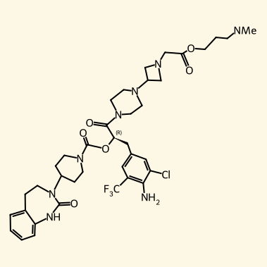 CNCCCOC(=O)CN1CC(N2CCN(C(=O)[C@@H](Cc3cc(Cl)c(N)c(C(F)(F)F)c3)OC(=O)N3CCC(N4CCc5ccccc5NC4=O)CC3)CC2)C1